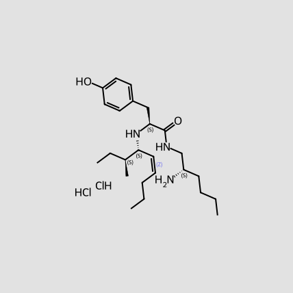 CCC/C=C\[C@@H](N[C@@H](Cc1ccc(O)cc1)C(=O)NC[C@@H](N)CCCC)[C@@H](C)CC.Cl.Cl